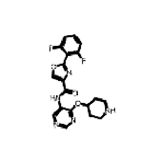 O=C(Nc1cncnc1OC1CCNCC1)c1coc(-c2c(F)cccc2F)n1